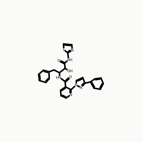 O=C(NC(Cc1ccccc1)C(O)C(=O)Nc1nccs1)c1cccnc1-n1ccc(-c2ccccc2)n1